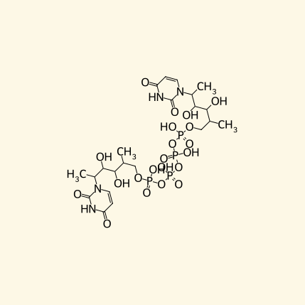 CC(COP(=O)(O)OP(=O)(O)OP(=O)(O)OP(=O)(O)OCC(C)C(O)C(O)C(C)n1ccc(=O)[nH]c1=O)C(O)C(O)C(C)n1ccc(=O)[nH]c1=O